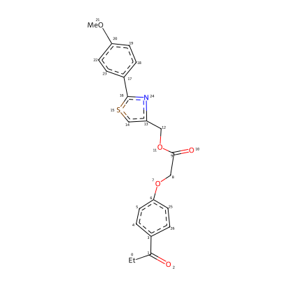 CCC(=O)c1ccc(OCC(=O)OCc2csc(-c3ccc(OC)cc3)n2)cc1